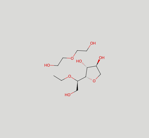 CCO[C@H](CO)[C@H]1OC[C@H](O)[C@H]1O.OCCOCCO